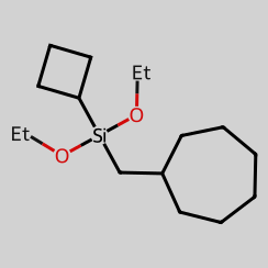 CCO[Si](CC1CCCCCC1)(OCC)C1CCC1